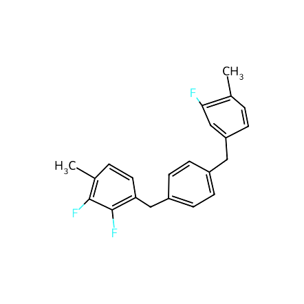 Cc1ccc(Cc2ccc(Cc3ccc(C)c(F)c3F)cc2)cc1F